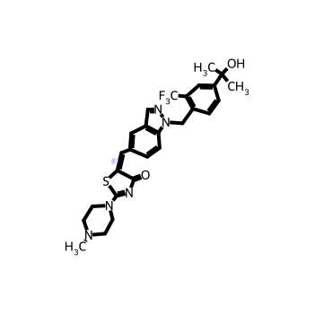 CN1CCN(C2=NC(=O)/C(=C\c3ccc4c(cnn4Cc4ccc(C(C)(C)O)cc4C(F)(F)F)c3)S2)CC1